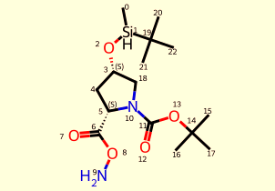 C[SiH](O[C@H]1C[C@@H](C(=O)ON)N(C(=O)OC(C)(C)C)C1)C(C)(C)C